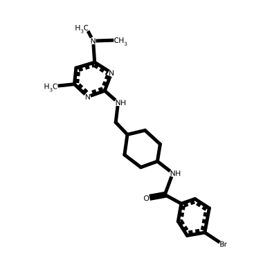 Cc1cc(N(C)C)nc(NCC2CCC(NC(=O)c3ccc(Br)cc3)CC2)n1